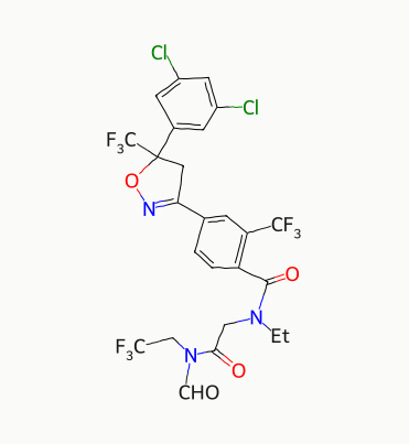 CCN(CC(=O)N(C=O)CC(F)(F)F)C(=O)c1ccc(C2=NOC(c3cc(Cl)cc(Cl)c3)(C(F)(F)F)C2)cc1C(F)(F)F